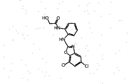 O=C(CO)Nc1ccccc1Nc1nc2cc(Cl)cc(Cl)c2o1